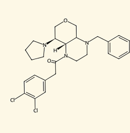 O=C(Cc1ccc(Cl)c(Cl)c1)N1CCN(Cc2ccccc2)C2COC[C@H](N3CCCC3)[C@H]21